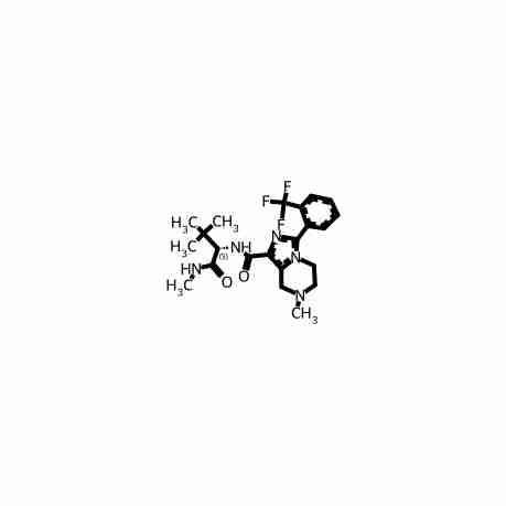 CNC(=O)[C@@H](NC(=O)c1nc(-c2ccccc2C(F)(F)F)n2c1CN(C)CC2)C(C)(C)C